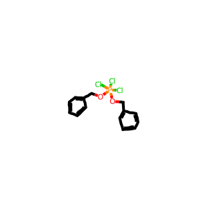 ClP(Cl)(Cl)(OCc1ccccc1)OCc1ccccc1